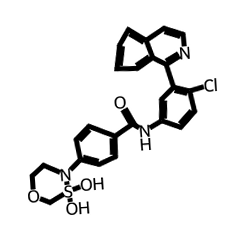 O=C(Nc1ccc(Cl)c(-c2nccc3ccccc23)c1)c1ccc(N2CCOCS2(O)O)cc1